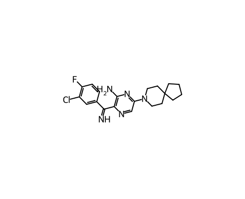 N=C(c1ccc(F)c(Cl)c1)c1ncc(N2CCC3(CCCC3)CC2)nc1N